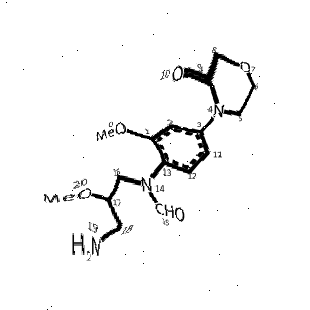 COc1cc(N2CCOCC2=O)ccc1N(C=O)CC(CN)OC